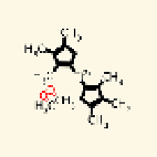 CC1=C(C)C(C)=[C]([Ti+2][C]2=C(C)C(C)=C(C)C2)C1.C[O-].C[O-]